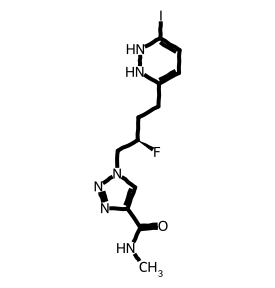 CNC(=O)c1cn(C[C@H](F)CCC2=CC=C(I)NN2)nn1